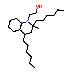 CCCCCCC1CC(C)(CCCCCC)N(CCO)C2CCCCC12